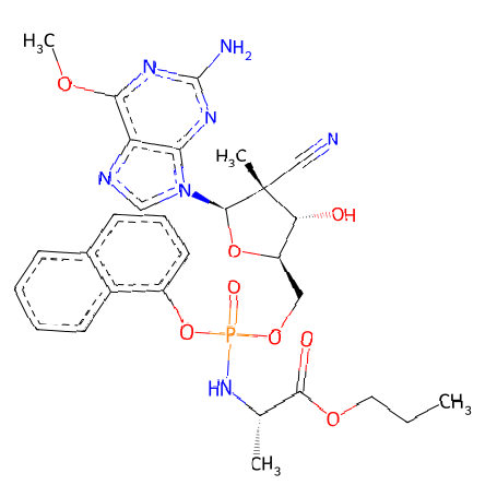 CCCOC(=O)[C@H](C)NP(=O)(OC[C@H]1O[C@@H](n2cnc3c(OC)nc(N)nc32)[C@](C)(C#N)[C@@H]1O)Oc1cccc2ccccc12